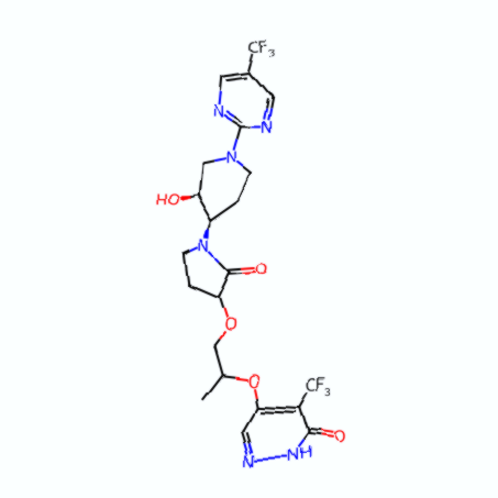 CC(COC1CCN([C@@H]2CCN(c3ncc(C(F)(F)F)cn3)C[C@@H]2O)C1=O)Oc1cn[nH]c(=O)c1C(F)(F)F